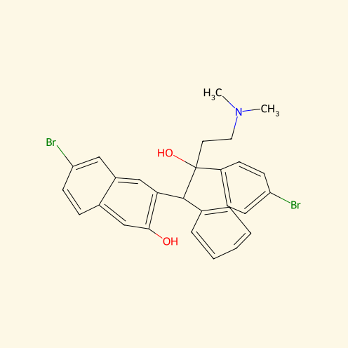 CN(C)CCC(O)(c1ccc(Br)cc1)C(c1ccccc1)c1cc2cc(Br)ccc2cc1O